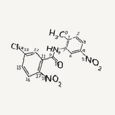 Cc1ccc([N+](=O)[O-])cc1NC(=O)c1cc(Cl)ccc1[N+](=O)[O-]